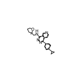 c1cc2c(-c3ccc(C4CC4)cc3)nnc(NC[C@H]3CCCO3)c2cn1